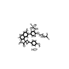 COc1ccc(C2CC3(C2)C(=O)N(C)c2cnc4cc(F)c(-c5cnc(OCCNC(C)C)c(NS(C)(=O)=O)c5)cc4c23)cc1.Cl